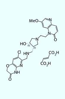 COc1cnc2ccc(=O)n(CCN3C[C@H](CNCc4nc5c(cc4Cl)OCC(=O)N5)[C@H](O)C3)c2c1.O=C(O)C=CC(=O)O